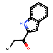 N#CCC(=O)c1cc2ccccc2[nH]1